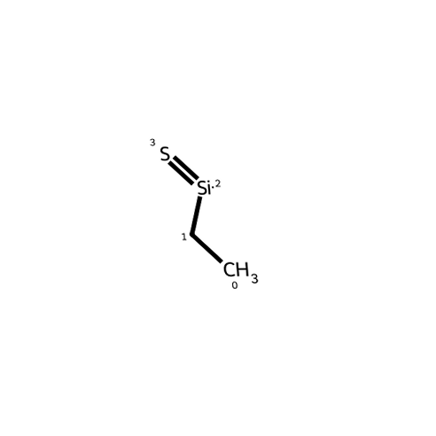 CC[Si]=S